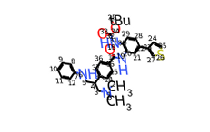 CN(C)CC(CNc1ccccc1)c1ccc(C(=O)Nc2cc(-c3ccsc3)ccc2NC(=O)OC(C)(C)C)cc1